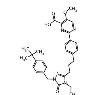 CCn1c(CCCc2ccc(-c3ncc(OC)c(C(=O)O)n3)cc2)nn(Cc2ccc(C(C)(C)C)cc2)c1=O